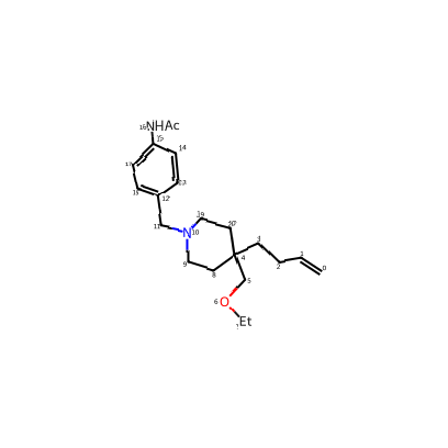 C=CCCC1(COCC)CCN(Cc2ccc(NC(C)=O)cc2)CC1